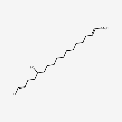 CCC=CCCC(O)CCCCCCCCCCC=CC(=O)O